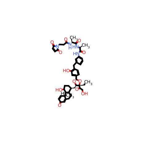 CC[C@]1(C(=O)CO)OC(c2ccc(Cc3cccc(NC(=O)[C@H](C)NC(=O)[C@H](C)NC(=O)CCN4C(=O)C=CC4=O)c3)c(O)c2)O[C@@H]1C[C@@H]1CCC(O)[C@H]2C1CCC1=CC(=O)C=CC12C